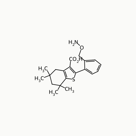 CC1(C)Cc2c(sc(-c3ccccc3CON)c2C(=O)O)C(C)(C)C1